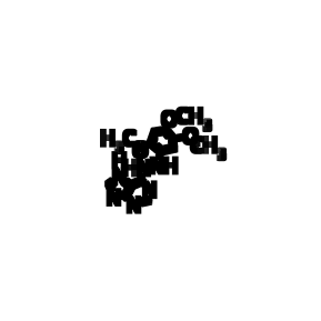 COc1cc(OC)c(OC)cc1NNc1ncnc2nc[nH]c12